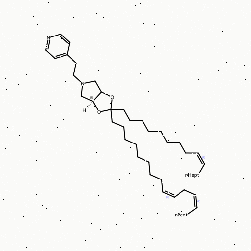 CCCCC/C=C\C/C=C\CCCCCCCCC1(CCCCCCCC/C=C\CCCCCCC)OC2CN(CCc3ccncc3)C[C@@H]2O1